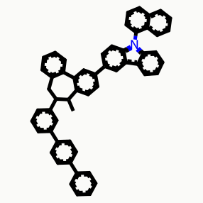 CC1c2ccc(-c3ccc4c(c3)c3ccccc3n4-c3cccc4ccccc34)cc2-c2ccccc2CC1c1cccc(-c2ccc(-c3ccccc3)cc2)c1